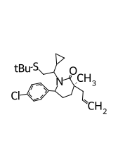 C=CC[C@@]1(C)CCC(c2ccc(Cl)cc2)N(C(CSC(C)(C)C)C2CC2)C1=O